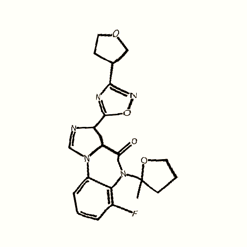 CC1(N2C(=O)C3C(c4nc(C5CCOC5)no4)N=CN3c3cccc(F)c32)CCCO1